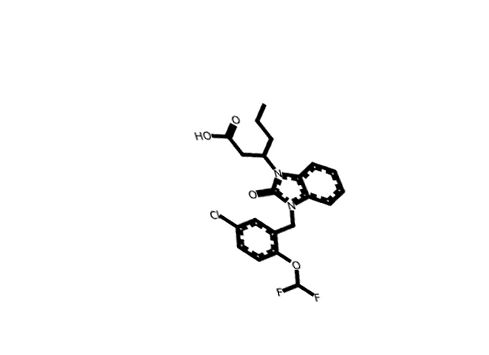 CCCC(CC(=O)O)n1c(=O)n(Cc2cc(Cl)ccc2OC(F)F)c2ccccc21